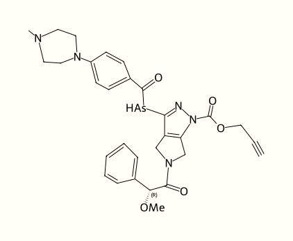 C#CCOC(=O)n1nc([AsH]C(=O)c2ccc(N3CCN(C)CC3)cc2)c2c1CN(C(=O)[C@H](OC)c1ccccc1)C2